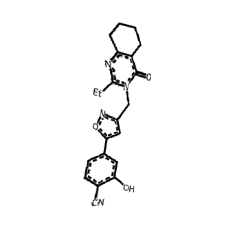 CCc1nc2c(c(=O)n1Cc1cc(-c3ccc(C#N)c(O)c3)on1)CCCC2